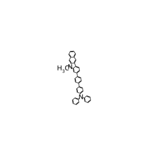 Cn1c2cc(-c3ccc(-c4ccc(N(c5ccccc5)c5ccccc5)cc4)cc3)ccc2c2cc3ccccc3cc21